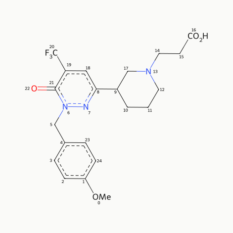 COc1ccc(Cn2nc(C3CCCN(CCC(=O)O)C3)cc(C(F)(F)F)c2=O)cc1